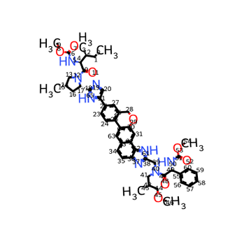 CC[C@H](C)[C@H](NC(=O)OC)C(=O)N1C[C@@H](C)C[C@H]1c1ncc(-c2ccc3c(c2)COc2cc4c(ccc5nc(CN(C[C@H](C)COC)C(=O)[C@H](NC(=O)OC)c6ccccc6)[nH]c54)cc2-3)[nH]1